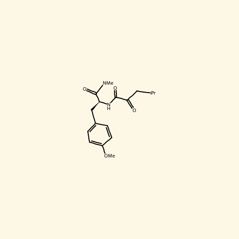 CNC(=O)[C@H](Cc1ccc(OC)cc1)NC(=O)C(=O)CC(C)C